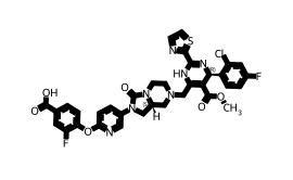 COC(=O)C1=C(CN2CCN3C(=O)N(c4ccc(Oc5ccc(C(=O)O)cc5F)nc4)C[C@@H]3C2)NC(c2nccs2)=N[C@H]1c1ccc(F)cc1Cl